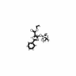 CCOC(=O)c1sc(-c2ccccc2)nc1OS(=O)(=O)C(F)(F)F